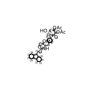 COC(=O)C(Cc1ccc(NC(=O)[C@@H](OC(C)=O)[C@H](OC(C)=O)C(=O)O)cc1)NC(=O)OCC1c2ccccc2-c2ccccc21